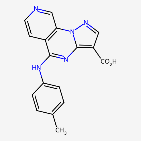 Cc1ccc(Nc2nc3c(C(=O)O)cnn3c3cnccc23)cc1